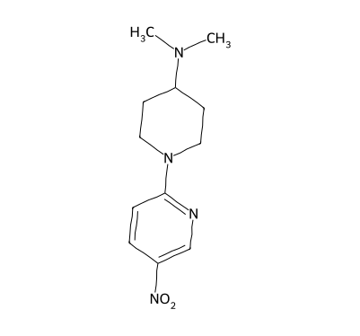 CN(C)C1CCN(c2ccc([N+](=O)[O-])cn2)CC1